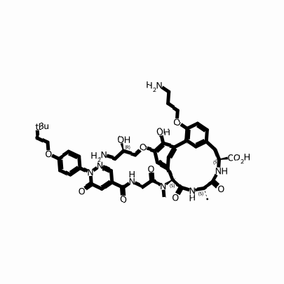 C[C@@H]1NC(=O)[C@@H](N(C)C(=O)CNC(=O)c2cnn(-c3ccc(OCCC(C)(C)C)cc3)c(=O)c2)c2cc(OC[C@H](O)CN)c(O)c(c2)-c2cc(ccc2OCCCN)C[C@@H](C(=O)O)NC1=O